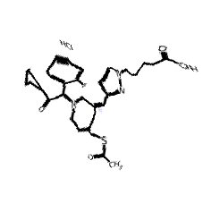 CC(=O)SC1CCN(C(C(=O)C2CC2)c2ccccc2F)C/C1=C\c1ccn(CCCCC(=O)O)n1.Cl